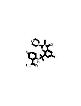 Cc1cc(C(C)(C)Nc2ccc(F)cc2C(=O)O)c2nc(N3CCOCC3)n(C)c(=O)c2c1